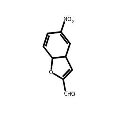 O=CC1=CC2C=C([N+](=O)[O-])C=CC2O1